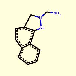 NCN1Cc2ccc3ccccc3c2N1